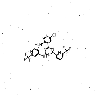 Nc1cnc(Cl)cc1-c1nc(Nc2ccnc(C(F)(F)F)c2)nc(-c2cccc(C(F)(F)F)n2)n1